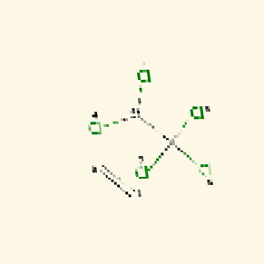 C=C.ClC(Cl)C(Cl)(Cl)Cl